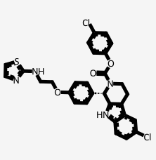 O=C(Oc1ccc(Cl)cc1)N1CCc2c([nH]c3ccc(Cl)cc23)[C@@H]1c1ccc(OCCNc2nccs2)cc1